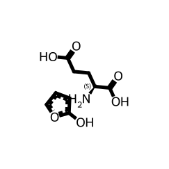 N[C@@H](CCC(=O)O)C(=O)O.Oc1ccco1